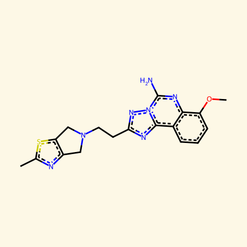 COc1cccc2c1nc(N)n1nc(CCN3Cc4nc(C)sc4C3)nc21